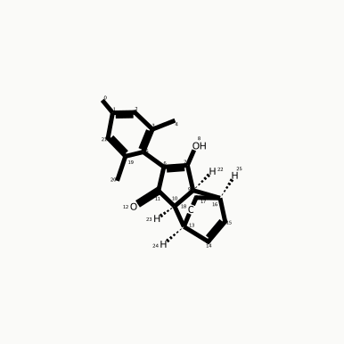 Cc1cc(C)c(C2=C(O)[C@@H]3[C@H](C2=O)[C@@H]2C=C[C@H]3CC2)c(C)c1